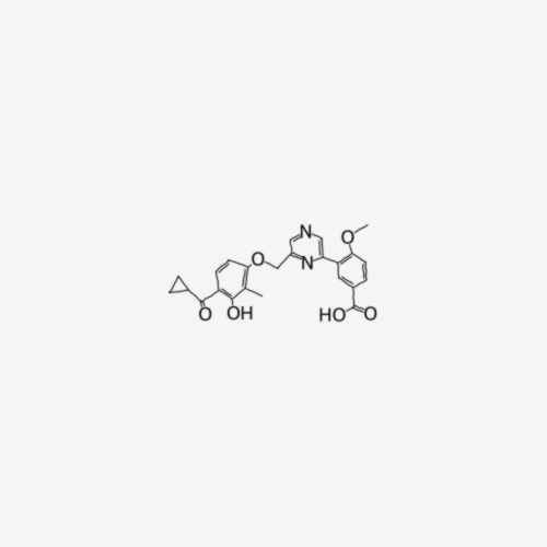 COc1ccc(C(=O)O)cc1-c1cncc(COc2ccc(C(=O)C3CC3)c(O)c2C)n1